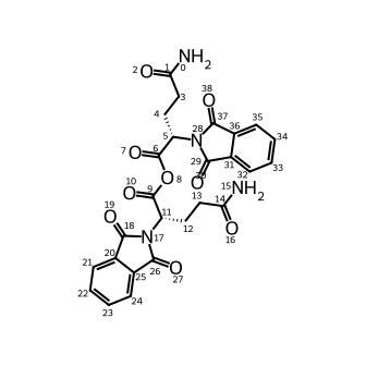 NC(=O)CC[C@@H](C(=O)OC(=O)[C@H](CCC(N)=O)N1C(=O)c2ccccc2C1=O)N1C(=O)c2ccccc2C1=O